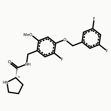 COc1cc(OCc2cc(F)cc(F)c2)c(F)cc1CNC(=O)[C@@H]1CCCN1